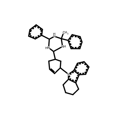 CC1(c2ccccc2)NC(c2ccccc2)NC(C2CC=CC(n3c4c(c5ccccc53)CCCC4)C2)N1